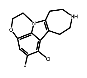 Fc1cc2c3c(c1Cl)c1c(n3CCO2)CCNCC1